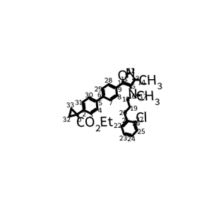 CCOC(=O)C1(c2ccc(-c3ccc(-c4onc(C)c4N(C)CCCc4ccccc4Cl)cc3)cc2)CC1